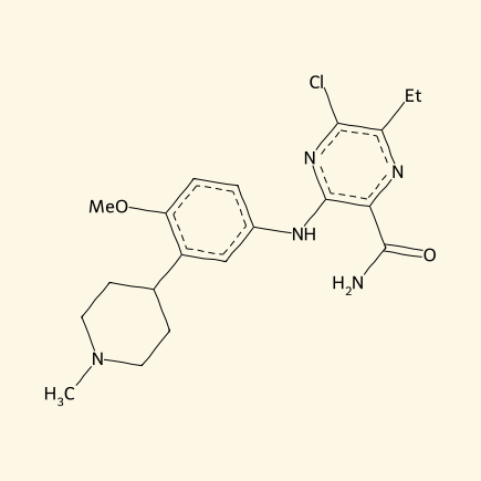 CCc1nc(C(N)=O)c(Nc2ccc(OC)c(C3CCN(C)CC3)c2)nc1Cl